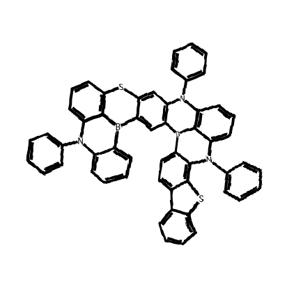 c1ccc(N2c3ccccc3B3c4cc5c(cc4Sc4cccc2c43)N(c2ccccc2)c2cccc3c2B5c2ccc4c(sc5ccccc54)c2N3c2ccccc2)cc1